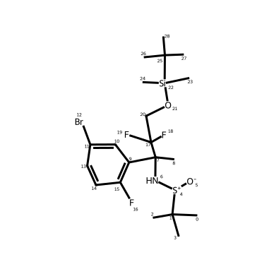 CC(C)(C)[S+]([O-])NC(C)(c1cc(Br)ccc1F)C(F)(F)CO[Si](C)(C)C(C)(C)C